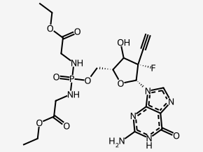 C#C[C@]1(F)C(O)[C@@H](COP(=O)(NCC(=O)OCC)NCC(=O)OCC)O[C@H]1n1cnc2c(=O)[nH]c(N)nc21